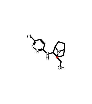 OCCN1C2CCC(Nc3ccc(Cl)nn3)C1CC2